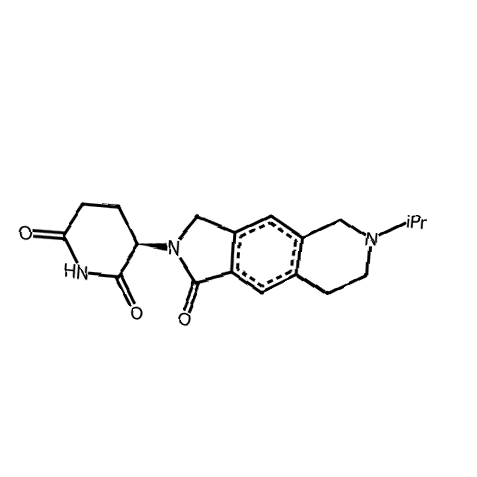 CC(C)N1CCc2cc3c(cc2C1)CN([C@@H]1CCC(=O)NC1=O)C3=O